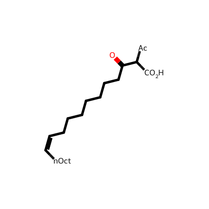 CCCCCCCC/C=C\CCCCCCCC(=O)C(C(C)=O)C(=O)O